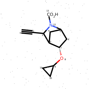 C#CC1C2CC(C[C@@H]2OC2CC2)N1C(=O)O